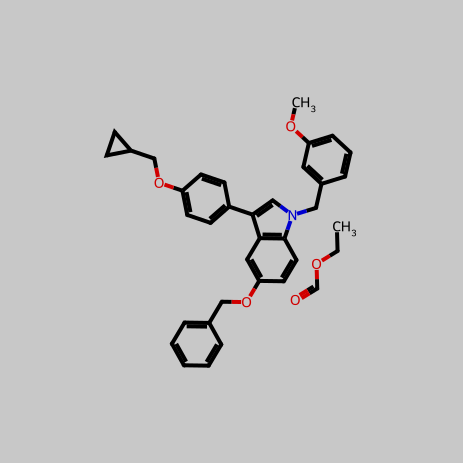 CCOC=O.COc1cccc(Cn2cc(-c3ccc(OCC4CC4)cc3)c3cc(OCc4ccccc4)ccc32)c1